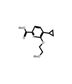 COCCOc1nc(C(=O)OC)ccc1C1CC1